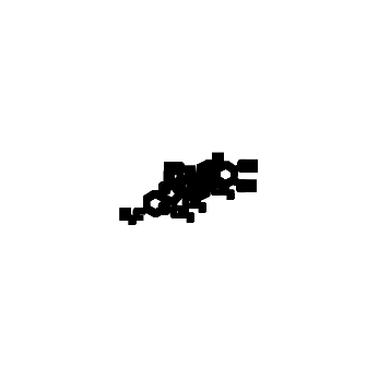 C[C@@H]1CCC2(OC1)O[C@H]1[C@@H](O)[C@H]3[C@@H]4CC[C@H]5C[C@H](O)[C@@H](O)C[C@]5(C)[C@H]4CC[C@]3(C)[C@H]1[C@@H]2C